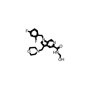 O=C(NCO)c1cc2c(CN3CCOCC3)cn(Cc3ccc(F)cc3F)c2cn1